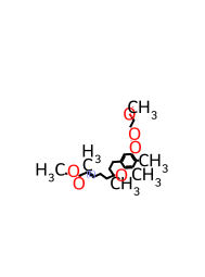 CCOC(=O)/C(C)=C/CCC1(C)CCc2cc(OCOCCOC)c(C)c(C)c2O1